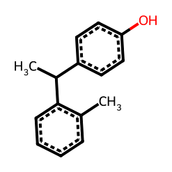 Cc1ccccc1C(C)c1ccc(O)cc1